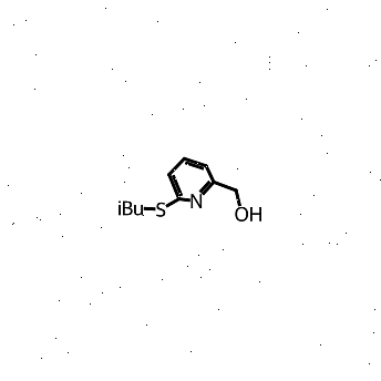 CCC(C)Sc1cccc(CO)n1